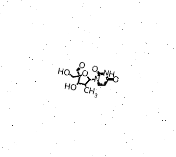 CC1C(n2ccc(=O)[nH]c2=O)OC(C=O)(CO)C1O